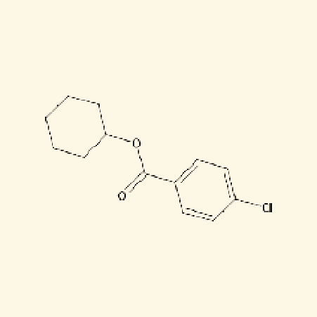 O=C(OC1CCCCC1)c1ccc(Cl)cc1